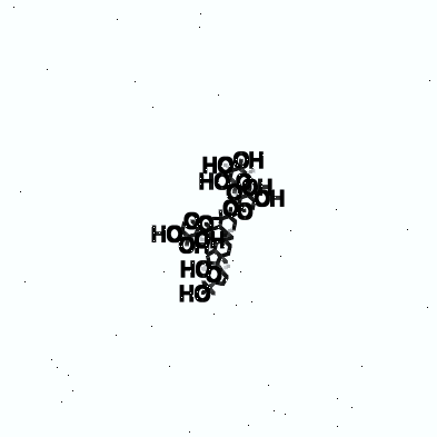 C[C@@H]1O[C@@H](O[C@H]2[C@H](OC3CC[C@]45CC46CC[C@]4(C)[C@@H]([C@@]7(C)CC[C@@H](C(C)(C)O)O7)[C@H](O)C[C@@]4(C)C6C[C@@H](O[C@@H]4OC[C@@H](O)[C@H](O)[C@H]4O)C5C3(C)C)OC[C@@H](O)[C@@H]2O)[C@H](O)[C@H](O)[C@H]1O